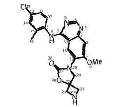 COc1cc2ncnc(Nc3ccc(Cl)cc3C)c2cc1N1CC2(CNC2)OC1=O